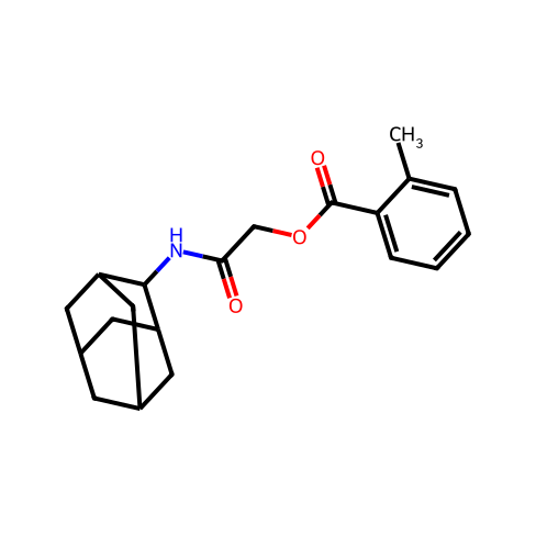 Cc1ccccc1C(=O)OCC(=O)NC1C2CC3CC(C2)CC1C3